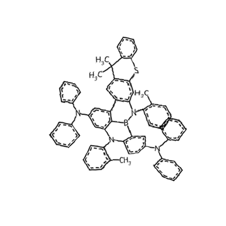 Cc1ccccc1N1B2c3cc(N(c4ccccc4)c4ccccc4)ccc3N(c3ccccc3C)c3cc(N(c4ccccc4)c4ccccc4)cc(c32)-c2cc3c(cc21)Sc1ccccc1C3(C)C